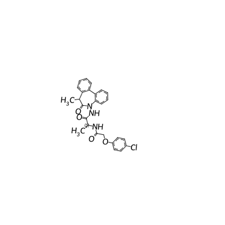 CC1C(=O)N(NC(=O)[C@H](C)NC(=O)COc2ccc(Cl)cc2)c2ccccc2-c2ccccc21